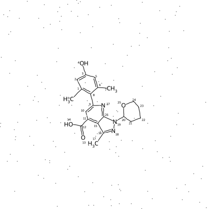 Cc1cc(O)cc(C)c1-c1cc(C(=O)O)c2c(C)nn(C3CCCCO3)c2n1